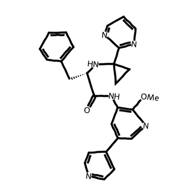 COc1ncc(-c2ccncc2)cc1NC(=O)[C@H](Cc1ccccc1)NC1(c2ncccn2)CC1